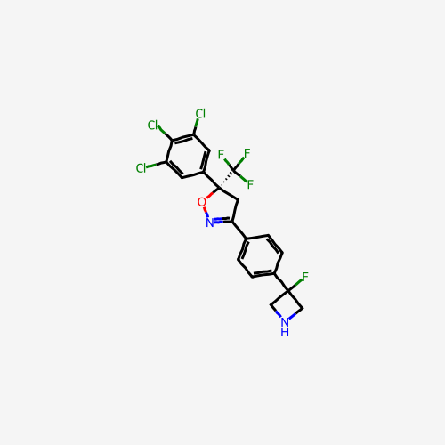 FC1(c2ccc(C3=NO[C@](c4cc(Cl)c(Cl)c(Cl)c4)(C(F)(F)F)C3)cc2)CNC1